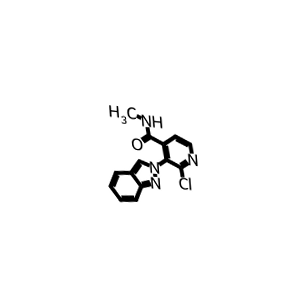 CNC(=O)c1ccnc(Cl)c1-n1cc2ccccc2n1